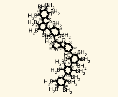 Bc1cc(-c2c(B)c(B)c(-c3c(B)c(B)c(B)c(-c4ccc5oc6c(-c7c(B)cc(B)c(-c8c(B)c(B)c(B)c9c8sc8c(B)c(B)c(B)c(B)c89)c7B)ncnc6c5c4)c3B)c(B)c2B)c(B)c(B)c1B